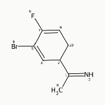 CC(=N)C1C=C(Br)C(F)=CC1